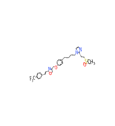 C[S+]([O-])CCc1nccn1CCCCc1ccc(OCc2coc(/C=C/c3ccc(C(F)(F)F)cc3)n2)cc1